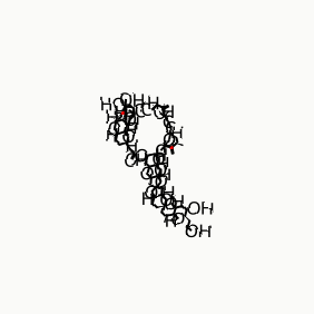 C=C1C[C@@H]2CC[C@]34CC(O)(O)C(O3)[C@@H]3O[C@H]5CC[C@H](CC(=O)O[C@@H]6CC7OC8C[C@]9(C[C@@H]%10O[C@@]%11(CC[C@@H]%10O9)C[C@H](C)[C@@H]9O[C@H](CCO)[C@H](O)C[C@@H]9O%11)O[C@@H]8O[C@@H]7O[C@H]6C[C@H]6O[C@@H](CC[C@@H]1O2)C[C@@H](C)C6=C)O[C@@H]5[C@H](O4)[C@@H]3I